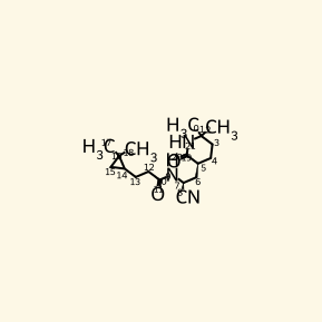 CC1(C)CC[C@@H](C[C@@H](C#N)NC(=O)CCC2CC2(C)C)C(=O)N1